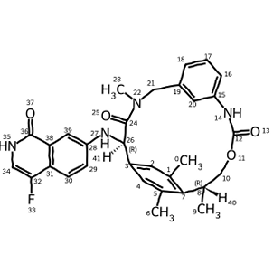 Cc1cc2cc(C)c1[C@@H](C)COC(=O)Nc1cccc(c1)CN(C)C(=O)[C@@H]2Nc1ccc2c(F)c[nH]c(=O)c2c1